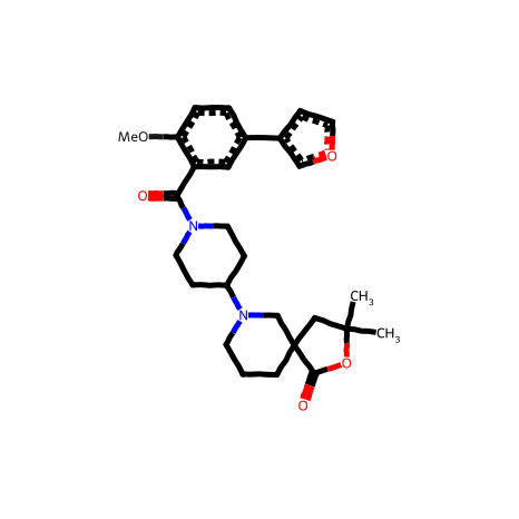 COc1ccc(-c2ccoc2)cc1C(=O)N1CCC(N2CCCC3(C2)CC(C)(C)OC3=O)CC1